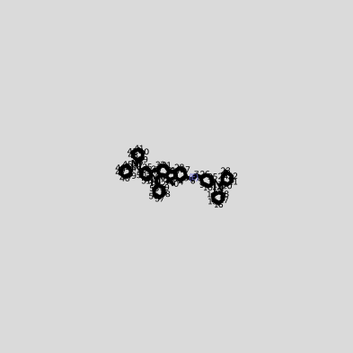 CC1(C)c2cc(/C=C/c3ccc(N(c4ccccc4)c4ccccc4)cc3)ccc2-c2ccc3c4cc(N(c5ccccc5)c5ccccc5)ccc4n(-c4ccccc4)c3c21